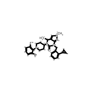 CC1c2cn(C)nc2N(Cc2ccccc2C2CC2)C(=O)N1C1CCN(c2c(F)cccc2Br)CC1